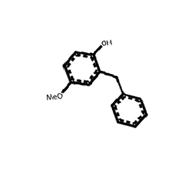 COc1ccc(O)c(Cc2ccccc2)c1